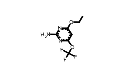 CCOc1cc(OC(F)(F)F)nc(N)n1